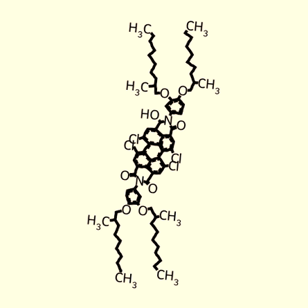 CCCCCCCCC(C)COc1ccc(N2C(=O)c3cc(Cl)c4c5c(Cl)cc6c7c(cc(Cl)c(c8c(Cl)cc(c3c48)C2=O)c75)C(O)N(c2ccc(OCC(C)CCCCCCCC)c(OCC(C)CCCCCCCC)c2)C6=O)cc1OCC(C)CCCCCCCC